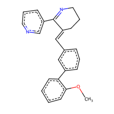 COc1ccccc1-c1cccc(C=C2CCCN=C2c2cccnc2)c1